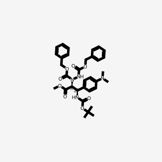 COC(=O)[C@H]([C@H](NC(=O)OC(C)(C)C)c1ccc(N(C)C)cc1)N(NC(=O)OCc1ccccc1)C(=O)OCc1ccccc1